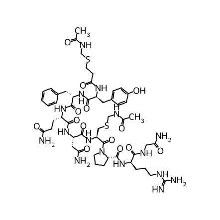 CC(=O)NCSCCC(=O)N[C@@H](Cc1ccc(O)cc1)C(=O)N[C@@H](Cc1ccccc1)C(=O)N[C@@H](CCC(N)=O)C(=O)N[C@@H](CC(N)=O)C(=O)N[C@@H](CSCNC(C)=O)C(=O)N1CCC[C@H]1C(=O)N[C@H](CCCNC(=N)N)C(=O)NCC(N)=O